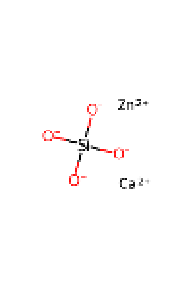 [Ca+2].[O-][Si]([O-])([O-])[O-].[Zn+2]